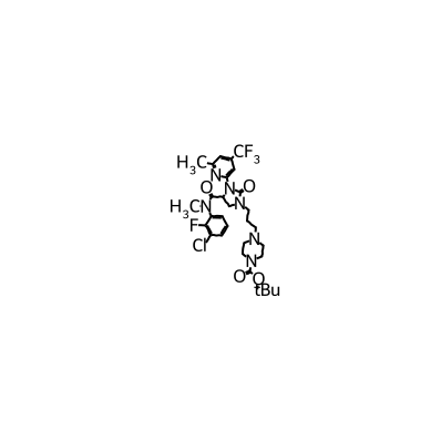 Cc1cc(C(F)(F)F)cc(N2C(=O)N(CCCN3CCN(C(=O)OC(C)(C)C)CC3)CC2C(=O)N(C)c2cccc(Cl)c2F)n1